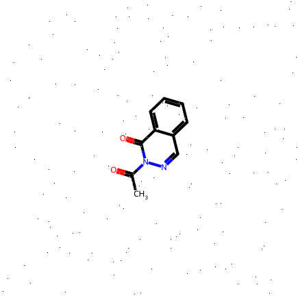 CC(=O)n1ncc2ccccc2c1=O